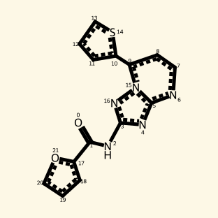 O=C(Nc1nc2nccc(-c3cccs3)n2n1)c1ccco1